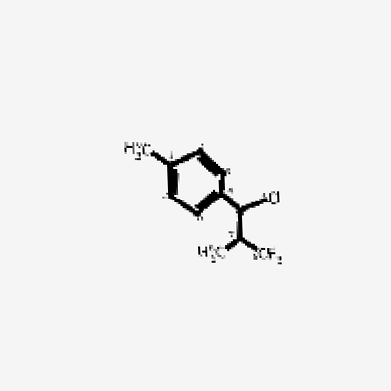 Cc1ccc(C(Cl)C(C)C(F)(F)F)cc1